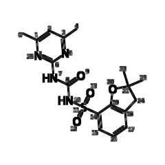 Cc1cc(C)nc(NC(=O)NS(=O)(=O)c2cccc3c2OC(C)(C)C3)n1